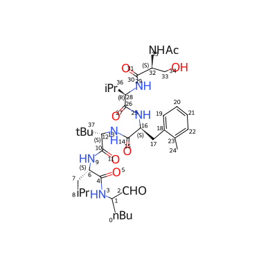 CCCCC(C=O)NC(=O)[C@H](CC(C)C)NC(=O)[C@@H](NC(=O)[C@H](Cc1ccccc1C)NC(=O)[C@H](NC(=O)[C@H](CO)NC(C)=O)C(C)C)C(C)(C)C